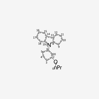 CCCOc1cccc(-n2c3ccccc3c3ccccc32)c1